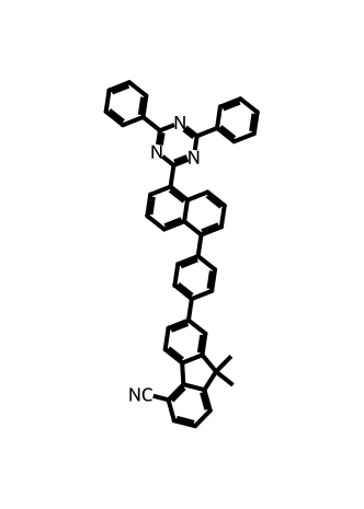 CC1(C)c2cc(-c3ccc(-c4cccc5c(-c6nc(-c7ccccc7)nc(-c7ccccc7)n6)cccc45)cc3)ccc2-c2c(C#N)cccc21